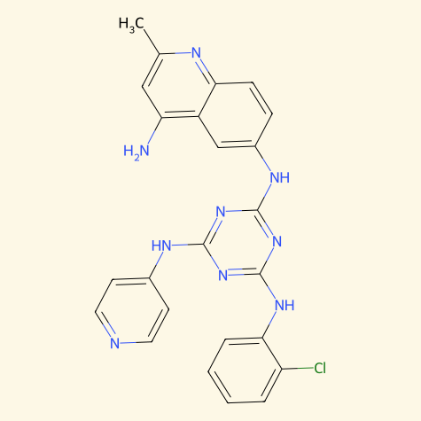 Cc1cc(N)c2cc(Nc3nc(Nc4ccncc4)nc(Nc4ccccc4Cl)n3)ccc2n1